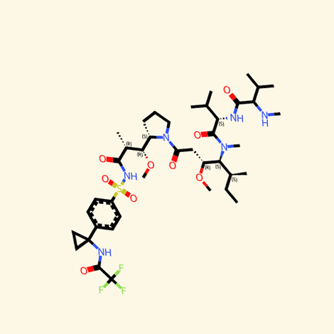 CC[C@H](C)[C@@H]([C@@H](CC(=O)N1CCC[C@H]1[C@H](OC)[C@@H](C)C(=O)NS(=O)(=O)c1ccc(C2(NC(=O)C(F)(F)F)CC2)cc1)OC)N(C)C(=O)[C@@H](NC(=O)C(NC)C(C)C)C(C)C